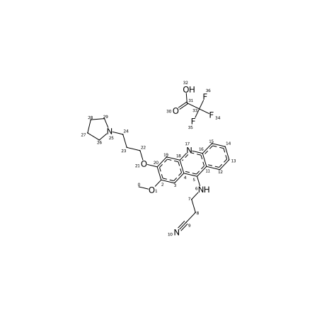 COc1cc2c(NCCC#N)c3ccccc3nc2cc1OCCCN1CCCC1.O=C(O)C(F)(F)F